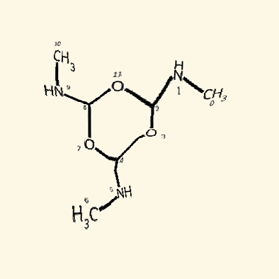 CNC1OC(NC)OC(NC)O1